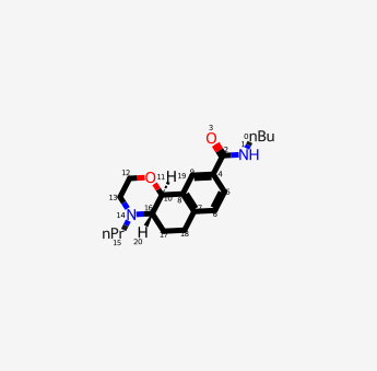 CCCCNC(=O)c1ccc2c(c1)[C@@H]1OCCN(CCC)[C@H]1CC2